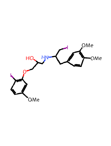 COc1ccc(I)c(OCC(O)CNC(CI)Cc2ccc(OC)c(OC)c2)c1